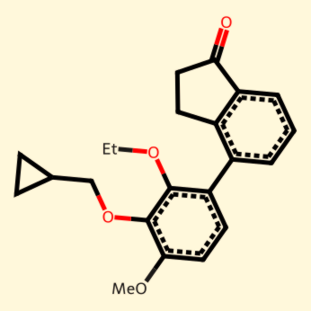 CCOc1c(-c2cccc3c2CCC3=O)ccc(OC)c1OCC1CC1